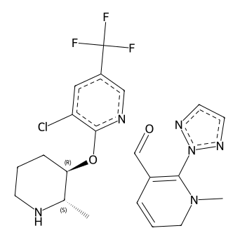 CN1CC=CC(C=O)=C1n1nccn1.C[C@@H]1NCCC[C@H]1Oc1ncc(C(F)(F)F)cc1Cl